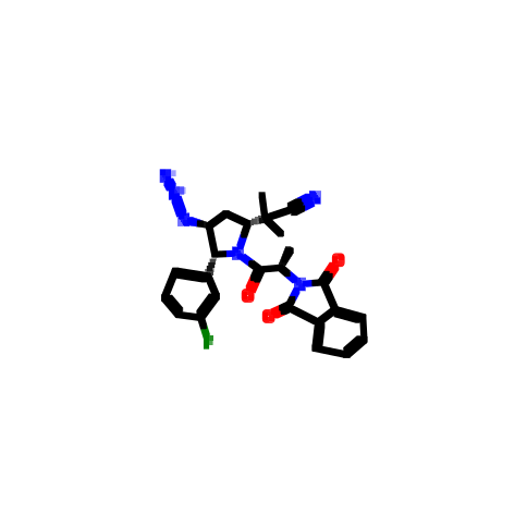 C[C@H](C(=O)N1[C@H](c2cccc(F)c2)[C@@H](N=[N+]=[N-])C[C@@H]1C(C)(C)C#N)N1C(=O)c2ccccc2C1=O